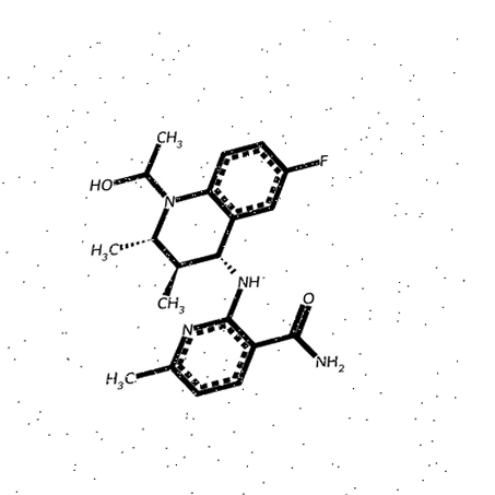 Cc1ccc(C(N)=O)c(N[C@H]2c3cc(F)ccc3N(C(C)O)[C@@H](C)[C@@H]2C)n1